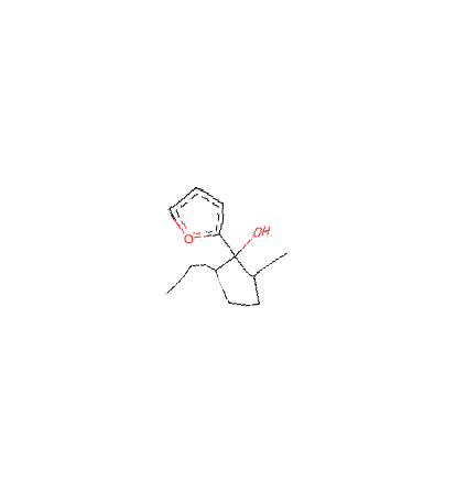 CCC1CCC(C)C1(O)c1ccco1